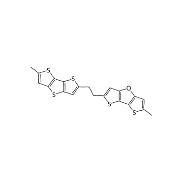 Cc1cc2oc3cc(CCc4cc5sc6cc(C)sc6c5s4)sc3c2s1